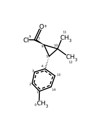 Cc1ccc([C@@H]2[C@@H](C(=O)Cl)C2(C)C)cc1